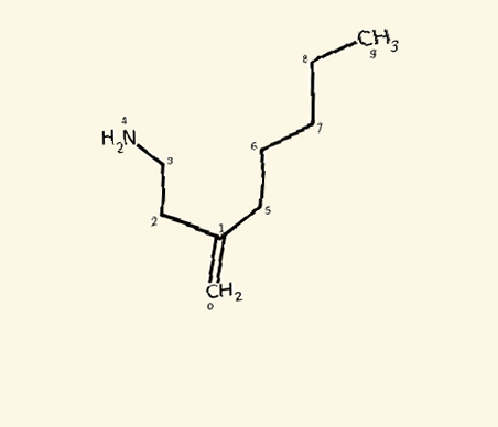 C=C(CCN)CCCCC